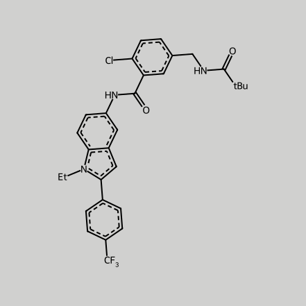 CCn1c(-c2ccc(C(F)(F)F)cc2)cc2cc(NC(=O)c3cc(CNC(=O)C(C)(C)C)ccc3Cl)ccc21